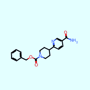 NC(=O)c1ccc(C2CCN(C(=O)OCc3ccccc3)CC2)nc1